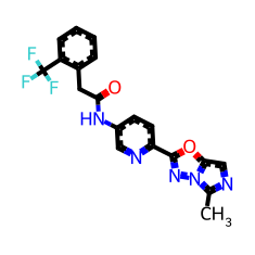 Cc1ncc2oc(-c3ccc(NC(=O)Cc4ccccc4C(F)(F)F)cn3)nn12